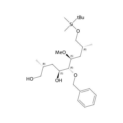 CO[C@@H](C[C@@H](C)CO[Si](C)(C)C(C)(C)C)[C@H](OCc1ccccc1)[C@@H](O)C[C@@H](C)CO